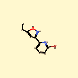 CCc1cc(-c2cccc(Br)n2)no1